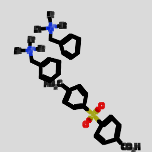 CC[N+](CC)(CC)Cc1ccccc1.CC[N+](CC)(CC)Cc1ccccc1.O=C(O)c1ccc(S(=O)(=O)c2ccc(C(=O)O)cc2)cc1